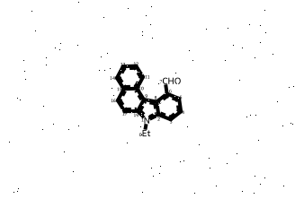 CCn1c2cccc(C=O)c2c2c3ccccc3ccc21